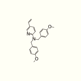 C=Cc1ccc(N(Cc2ccc(OC)cc2)Cc2ccc(OC)cc2)nc1